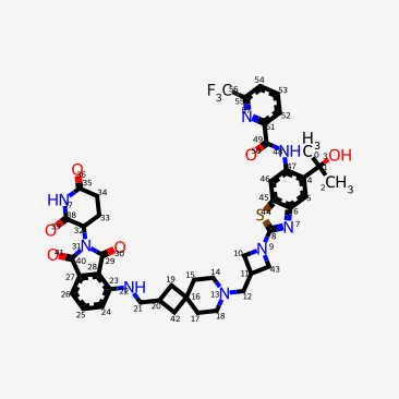 CC(C)(O)c1cc2nc(N3CC(CN4CCC5(CC4)CC(CNc4cccc6c4C(=O)N(C4CCC(=O)NC4=O)C6=O)C5)C3)sc2cc1NC(=O)c1cccc(C(F)(F)F)n1